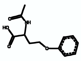 CC(=O)NC(CCOc1ccccc1)C(=O)O